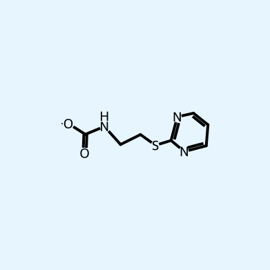 [O]C(=O)NCCSc1ncccn1